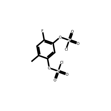 Cc1cc(F)c(OS(=O)(=O)Cl)cc1OS(=O)(=O)Cl